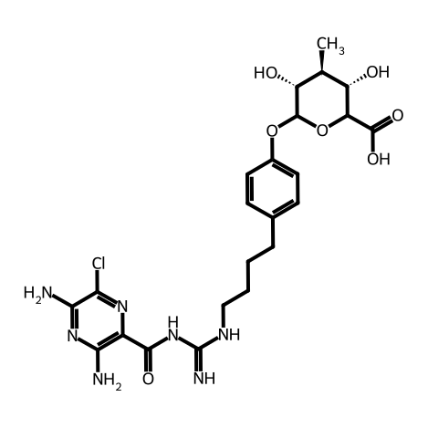 C[C@H]1[C@H](O)C(C(=O)O)OC(Oc2ccc(CCCCNC(=N)NC(=O)c3nc(Cl)c(N)nc3N)cc2)[C@@H]1O